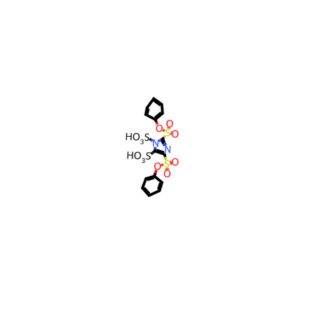 O=S(=O)(O)c1c(S(=O)(=O)Oc2ccccc2)nc(S(=O)(=O)Oc2ccccc2)n1S(=O)(=O)O